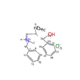 CCCCCCCCCCCC[N+](C)(C)Cc1ccccc1.OCc1ccccc1.[Cl-]